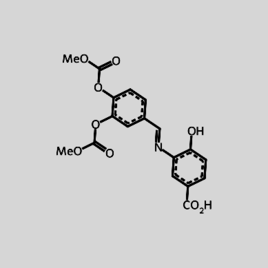 COC(=O)Oc1ccc(C=Nc2cc(C(=O)O)ccc2O)cc1OC(=O)OC